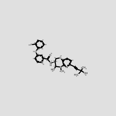 CN1c2nc(C#CC(C)(C)O)ccc2OC[C@H](NC(=O)c2cc(Oc3ccccc3F)ccn2)C1O